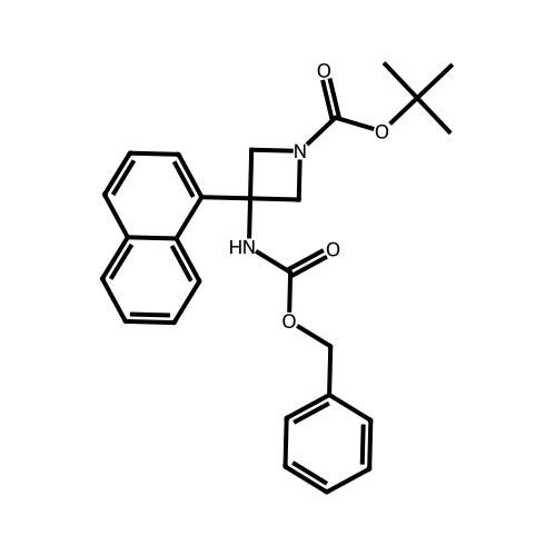 CC(C)(C)OC(=O)N1CC(NC(=O)OCc2ccccc2)(c2cccc3ccccc23)C1